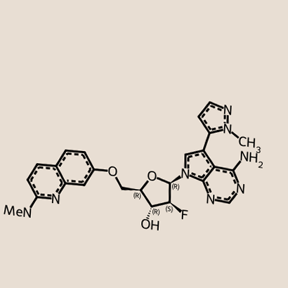 CNc1ccc2ccc(OC[C@H]3O[C@@H](n4cc(-c5ccnn5C)c5c(N)ncnc54)[C@@H](F)[C@@H]3O)cc2n1